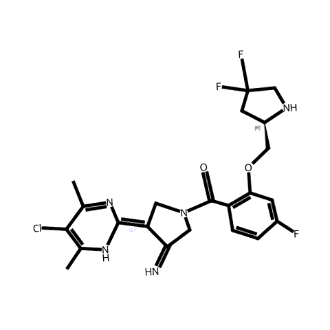 CC1=N/C(=C2\CN(C(=O)c3ccc(F)cc3OC[C@H]3CC(F)(F)CN3)CC2=N)NC(C)=C1Cl